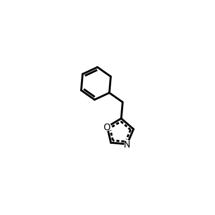 C1=CCC(Cc2cnco2)C=C1